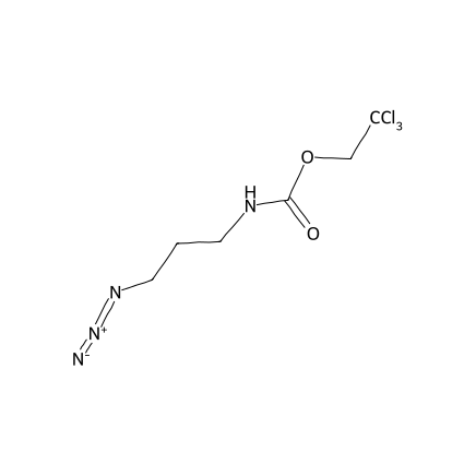 [N-]=[N+]=NCCCNC(=O)OCC(Cl)(Cl)Cl